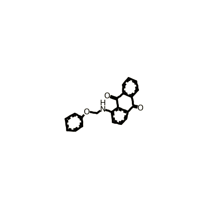 O=C1c2ccccc2C(=O)c2c(NCOc3ccccc3)cccc21